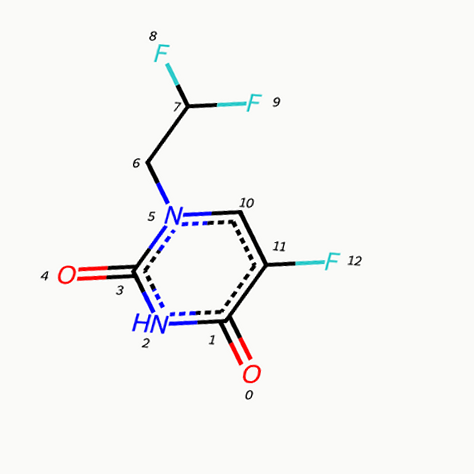 O=c1[nH]c(=O)n(CC(F)F)cc1F